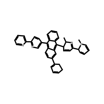 CC1N=C(C2C=CC=CN2C)C=CC1c1c2ccccc2c(-c2ccc(-c3ccccn3)nc2)c2ccc(C3=CC=CCC3)cc12